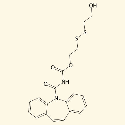 O=C(NC(=O)N1c2ccccc2C=Cc2ccccc21)OCCSSCCO